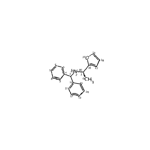 C[C@@H](NC(c1ccccc1)c1ccccc1)c1ccco1